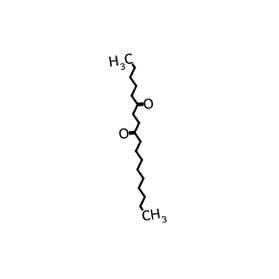 CCCCCCCCCC(=O)CCC(=O)CCCCC